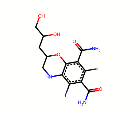 NC(=O)c1c(I)c2c(c(C(N)=O)c1I)OC(CC(O)CO)CN2